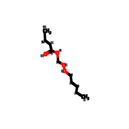 CCCCCOOCOC(=O)CCC